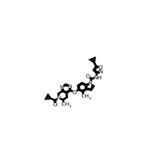 Cc1c(Oc2ncnc3c2CC(C)N(C(=O)C2CC2)C3)ccc2c1ccn2C(=O)Nc1cc(C2CC2)on1